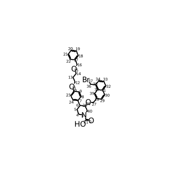 O=C(O)N1CCC(c2ccc(OCCCOCc3ccccc3)cc2)C(OCc2ccc3cccc(CBr)c3c2)C1